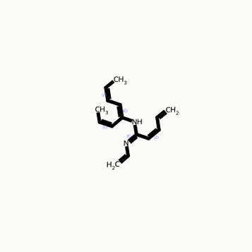 C=C/C=C\C(=N/C=C)NC(/C=C\C)=C/C=C\C